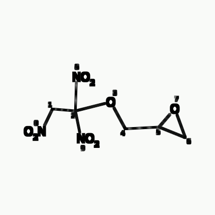 O=[N+]([O-])CC(OCC1CO1)([N+](=O)[O-])[N+](=O)[O-]